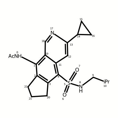 CC(=O)Nc1c2c(c(S(=O)(=O)NCC(C)C)c3cc(C4CC4)ncc13)CCC2